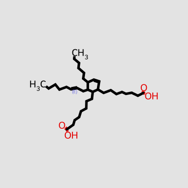 CCCCC/C=C/CC1C(CCCCCC)C=CC(CCCCCCCC(=O)O)C1CCCCCCCC(=O)O